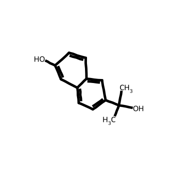 CC(C)(O)c1ccc2cc(O)ccc2c1